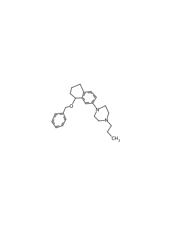 CCCN1CCN(c2ccc3c(c2)C(OCc2ccccc2)CCC3)CC1